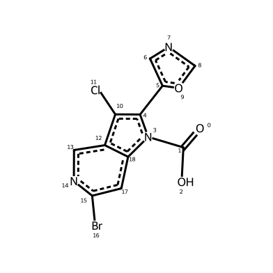 O=C(O)n1c(-c2cnco2)c(Cl)c2cnc(Br)cc21